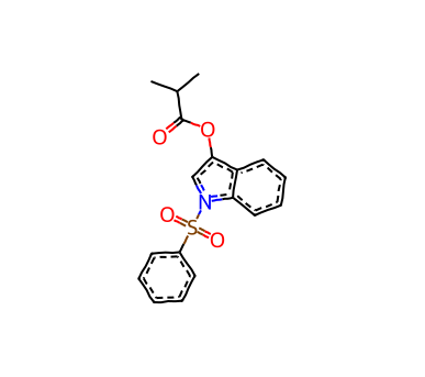 CC(C)C(=O)Oc1cn(S(=O)(=O)c2ccccc2)c2ccccc12